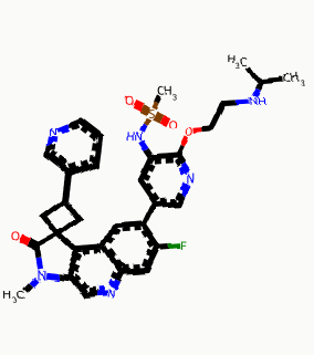 CC(C)NCCOc1ncc(-c2cc3c4c(cnc3cc2F)N(C)C(=O)C42CC(c3cccnc3)C2)cc1NS(C)(=O)=O